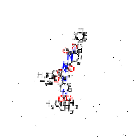 CC(C)(C)OC(=O)N1CCC(N(Cc2nnc([C@@H]3CC[C@@H]4CN3C(=O)N4OCc3ccccc3)o2)C(=O)OC(C)(C)C)CC1